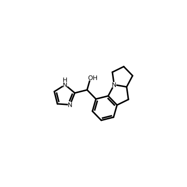 OC(c1ncc[nH]1)c1cccc2c1N1CCCC1C2